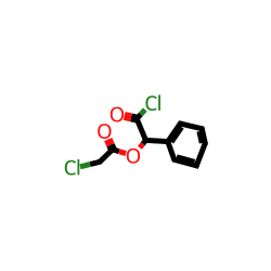 O=C(CCl)OC(C(=O)Cl)c1ccccc1